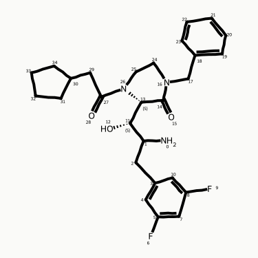 NC(Cc1cc(F)cc(F)c1)[C@H](O)[C@H]1C(=O)N(Cc2ccccc2)CCN1C(=O)CC1CCCC1